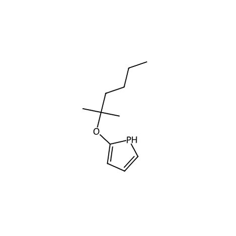 CCCCC(C)(C)Oc1ccc[pH]1